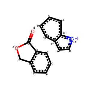 O=C1OCc2ccccc21.c1ccc2[nH]ccc2c1